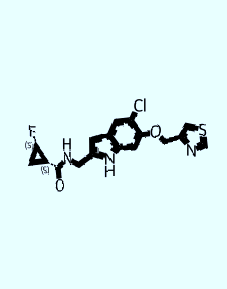 O=C(NCc1cc2cc(Cl)c(OCc3cscn3)cc2[nH]1)[C@@H]1C[C@@H]1F